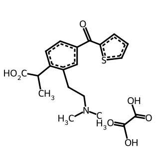 CC(C(=O)O)c1ccc(C(=O)c2cccs2)cc1CCN(C)C.O=C(O)C(=O)O